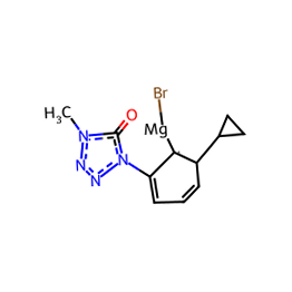 Cn1nnn(C2=CC=CC(C3CC3)[C]2[Mg][Br])c1=O